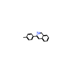 Cc1ccc(-c2cc3ccccc3cn2)cc1